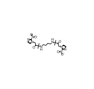 CC(C)(NCCCCNC(C)(C)C(=O)Cn1ccnc1[N+](=O)[O-])C(=O)Cn1ccnc1[N+](=O)[O-]